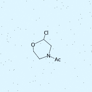 CC(=O)N1CCOC(Cl)C1